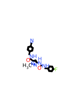 Cn1nc(NC(=O)NCc2ccc(F)cc2)cc1C(=O)NCc1ccc(C#N)cc1